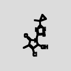 CC1=C(Cl)C(O)N(c2nc(C3(C)CC3)ns2)C1=O